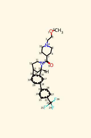 COCCN1CCC(C(=O)N2CCC3C[C@H]2c2cc(-c4ccc(C(F)(F)F)cc4)ccc23)CC1